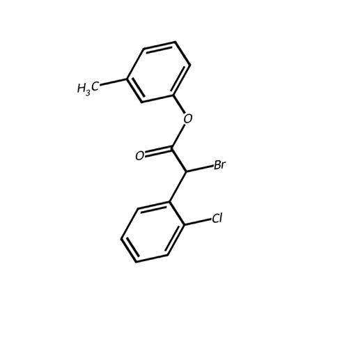 Cc1cccc(OC(=O)C(Br)c2ccccc2Cl)c1